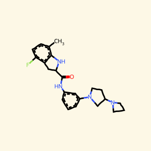 Cc1ccc(F)c2c1NC(C(=O)Nc1cccc(N3CCC(N4CCC4)C3)c1)C2